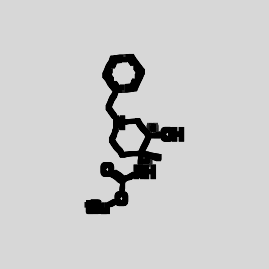 CC(C)(C)OC(=O)N[C@]1(C)CCN(Cc2ccccc2)C[C@H]1O